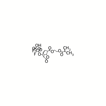 C=C(C)C(=O)OCCOC(=O)C1C2CC3C1OC(=O)C3C2OC(=O)C(F)(F)S(=O)(=O)O